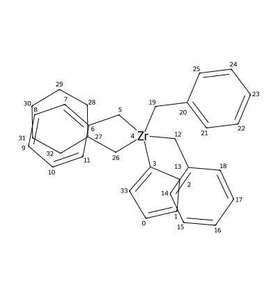 C1=CC[C]([Zr]([CH2]c2ccccc2)([CH2]c2ccccc2)([CH2]c2ccccc2)[CH2]C2CCCCC2)=C1